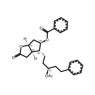 CC(=O)O[C@H](CCc1ccccc1)CC[C@@H]1[C@H]2CC(=O)O[C@H]2C[C@H]1OC(=O)c1ccccc1